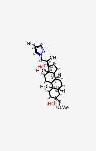 COC[C@@]1(O)CC[C@]2(C)C3CC[C@@]4(C)C(CC[C@]4(O)C(C)Cn4cc(C#N)cn4)[C@@H]3CC[C@@H]2C1